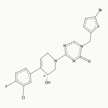 O=c1nc(N2CC=C(c3ccc(F)c(Cl)c3)[C@@H](O)C2)ncn1Cc1ccc(Br)s1